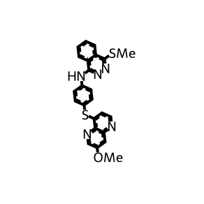 COc1cnc2c(Sc3ccc(Nc4nnc(SC)c5ccccc45)cc3)ccnc2c1